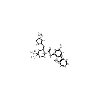 C[C@@H]1COC(CN2CC(C)(C)OC[C@H]2C(=O)Nc2cc(Cl)cc3c2[nH]c2cnccc23)=N1